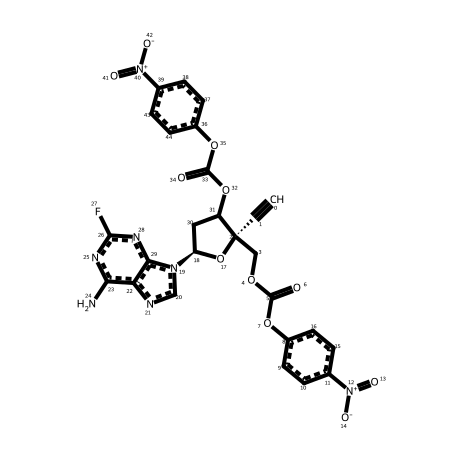 C#C[C@]1(COC(=O)Oc2ccc([N+](=O)[O-])cc2)O[C@@H](n2cnc3c(N)nc(F)nc32)CC1OC(=O)Oc1ccc([N+](=O)[O-])cc1